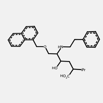 CC(C)C(CC(O)C(COCc1cccc2ccccc12)NCCc1ccccc1)C(=O)O